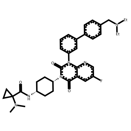 CCN(CC)Cc1ccc(-c2cccc(-n3c(=O)n([C@H]4CC[C@@H](NC(=O)C5(N(C)C)CC5)CC4)c(=O)c4cc(F)cnc43)c2)cc1